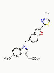 COc1ccc2c(c1)c(CC(=O)O)cn2Cc1ccc2oc(-c3nc(C(C)(C)C)cs3)cc2c1